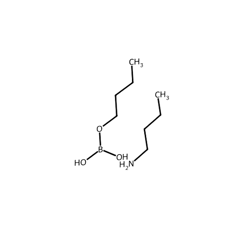 CCCCN.CCCCOB(O)O